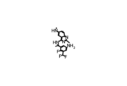 CNc1[c]cc2nc(C)nc(N[C@H](C)c3cc(N)cc(C(F)F)c3F)c2c1